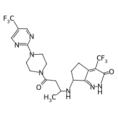 CC(CC(=O)N1CCN(c2ncc(C(F)(F)F)cn2)CC1)NC1CCc2c1n[nH]c(=O)c2C(F)(F)F